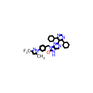 Cc1cc(C(F)(F)F)nn1-c1ccc(Cn2c(=O)[nH]c3cnc(-c4c(C5CCCCC5)ncnc4C4CCCCC4)nc32)cc1